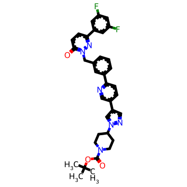 CC(C)(C)OC(=O)N1CCC(n2cc(-c3ccc(-c4cccc(Cn5nc(-c6cc(F)cc(F)c6)ccc5=O)c4)nc3)cn2)CC1